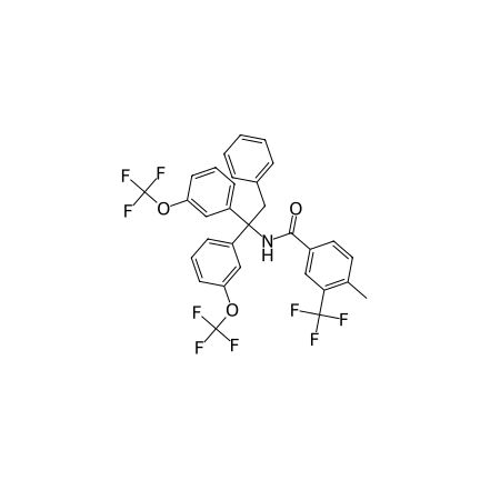 Cc1ccc(C(=O)NC(Cc2ccccc2)(c2cccc(OC(F)(F)F)c2)c2cccc(OC(F)(F)F)c2)cc1C(F)(F)F